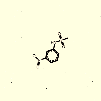 CS(=O)(=O)Nc1cccc([N+](=O)[O-])c1